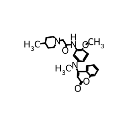 COc1ccc(N(C)c2cc(=O)oc3ccccc23)cc1NC(=O)CN1CCC(C)CC1